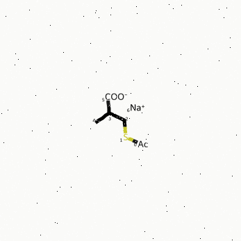 CC(=O)SCC(C)C(=O)[O-].[Na+]